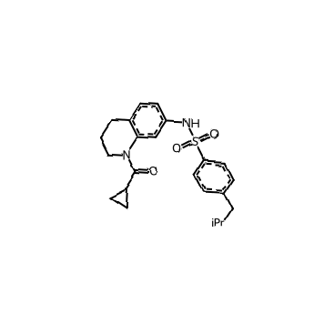 CC(C)Cc1ccc(S(=O)(=O)Nc2ccc3c(c2)N(C(=O)C2CC2)CCC3)cc1